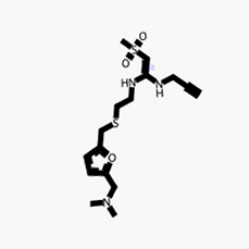 C#CCN/C(=C/S(C)(=O)=O)NCCSCc1ccc(CN(C)C)o1